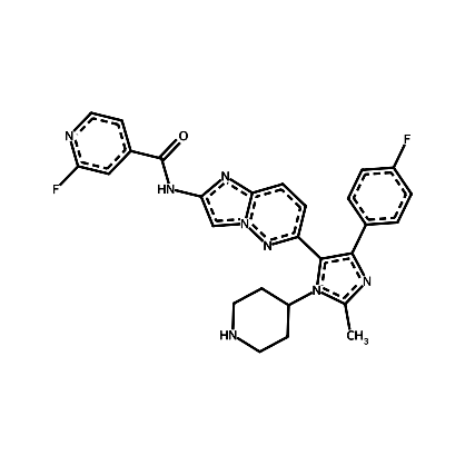 Cc1nc(-c2ccc(F)cc2)c(-c2ccc3nc(NC(=O)c4ccnc(F)c4)cn3n2)n1C1CCNCC1